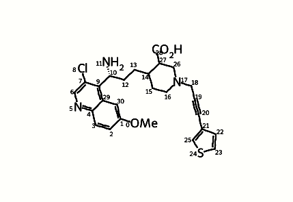 COc1ccc2ncc(Cl)c([C@H](N)CCC3CCN(CC#Cc4ccsc4)CC3C(=O)O)c2c1